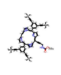 CC(C)(C)OC(=O)NCC#Cc1c2nc(c(-c3cc(C#C[Si](C)(C)C)cc(C#C[Si](C)(C)C)c3)c3ccc(cc4nc(c(-c5cc(C#C[Si](C)(C)C)cc(C#C[Si](C)(C)C)c5)c5ccc1[nH]5)C=C4)[nH]3)C=C2